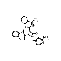 Cc1ccccc1N(C)C(=O)[C@@H]1[C@@H](Cc2ccnc(N)c2)C(=O)N1C(=O)N[C@@H](C1CCCCC1)C(F)(F)F